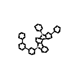 c1ccc(-c2cccc(-c3cccc(-n4c5ccccc5c5c6c7ccc(-c8ccccc8)cc7n(-c7ccccc7)c6ccc54)c3)c2)cc1